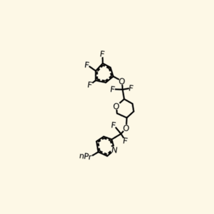 CCCc1ccc(C(F)(F)OC2CCC(C(F)(F)Oc3cc(F)c(F)c(F)c3)OC2)nc1